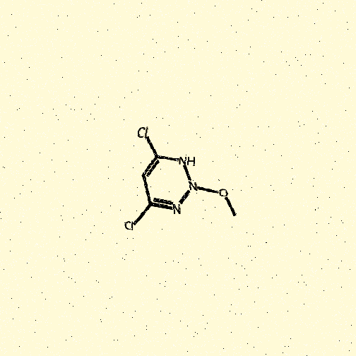 CON1N=C(Cl)C=C(Cl)N1